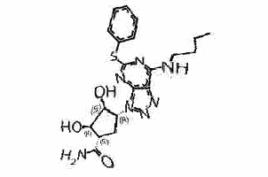 CCCCNc1nc(Sc2ccccc2)nc2c1nnn2[C@@H]1C[C@H](C(N)=O)[C@@H](O)[C@H]1O